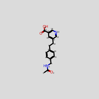 CC(=O)NCc1ccc(CCc2cncc(C(=O)O)c2)cc1